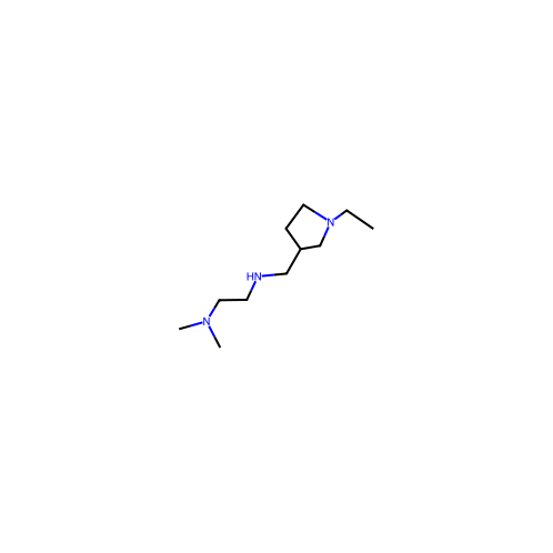 CCN1CCC(CNCCN(C)C)C1